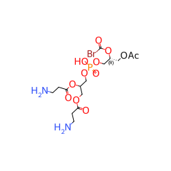 CC(=O)OC[C@H](COP(=O)(O)OCC(COC(=O)CCN)OC(=O)CCN)OC(=O)Br